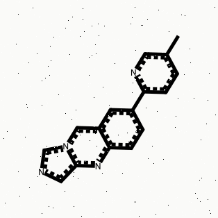 Cc1ccc(-c2ccc3nc4cncn4cc3c2)nc1